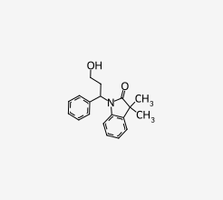 CC1(C)C(=O)N(C(CCO)c2ccccc2)c2ccccc21